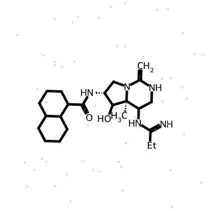 C=C1NCC(NC(=N)CC)[C@@]2(C)C(O)[C@H](NC(=O)C3CCCC4CCCCC43)CN12